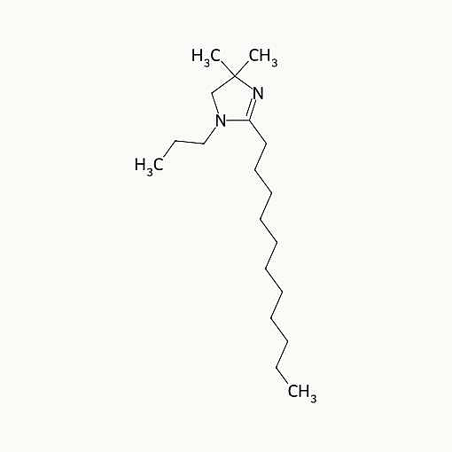 CCCCCCCCCCCC1=NC(C)(C)CN1CCC